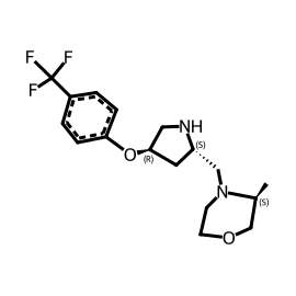 C[C@H]1COCCN1C[C@@H]1C[C@@H](Oc2ccc(C(F)(F)F)cc2)CN1